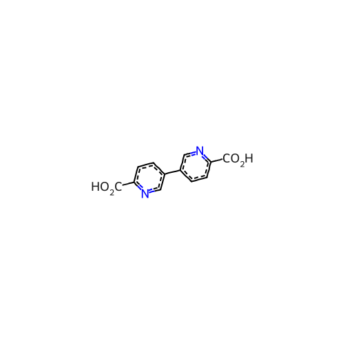 O=C(O)c1ccc(-c2ccc(C(=O)O)nc2)cn1